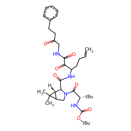 C=CCCC(NC(=O)C1[C@@H]2C(CN1C(=O)[C@@H](NC(=O)OC(C)(C)C)C(C)(C)C)C2(C)C)C(=O)C(=O)NCC(=O)CCc1ccccc1